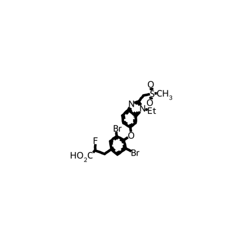 CCn1c(CS(C)(=O)=O)nc2ccc(Oc3c(Br)cc(CC(F)C(=O)O)cc3Br)cc21